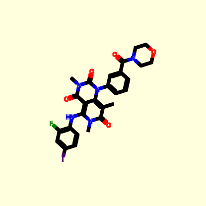 Cc1c(=O)n(C)c(Nc2ccc(I)cc2F)c2c(=O)n(C)c(=O)n(-c3cccc(C(=O)N4CCOCC4)c3)c12